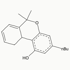 CCCCc1cc(O)c2c(c1)OC(C)(C)C1=CC=CCC12